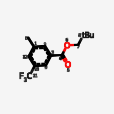 Cc1cc(C(=O)OCC(C)(C)C)cc(C(F)(F)F)c1